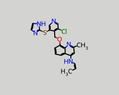 C/C=C\Nc1cc(C)nc2c(OCc3c(Cl)cncc3Sc3ncc[nH]3)cccc12